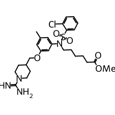 COC(=O)CCCCCN(c1cc(C)cc(OCC2CCN(C(=N)N)CC2)c1)S(=O)(=O)c1ccccc1Cl